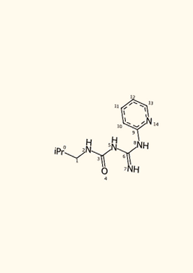 CC(C)CNC(=O)NC(=N)Nc1ccccn1